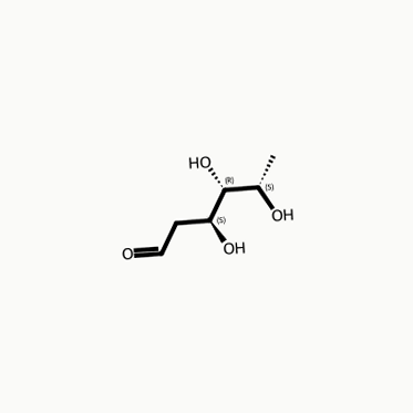 C[C@H](O)[C@@H](O)[C@@H](O)CC=O